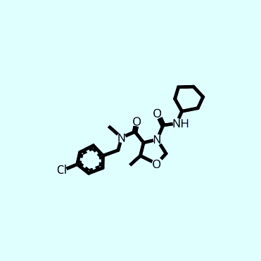 CC1OCN(C(=O)NC2CCCCC2)C1C(=O)N(C)Cc1ccc(Cl)cc1